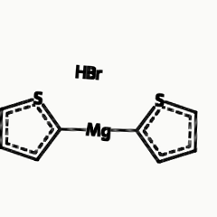 Br.c1cs[c]([Mg][c]2cccs2)c1